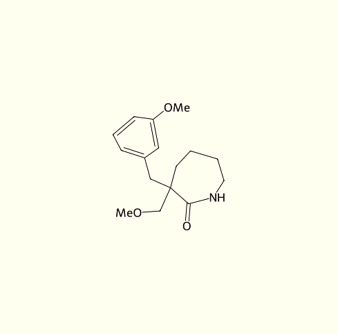 COCC1(Cc2cccc(OC)c2)CCCCNC1=O